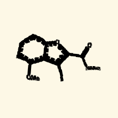 CNC(=O)c1oc2cccc(OC)c2c1C